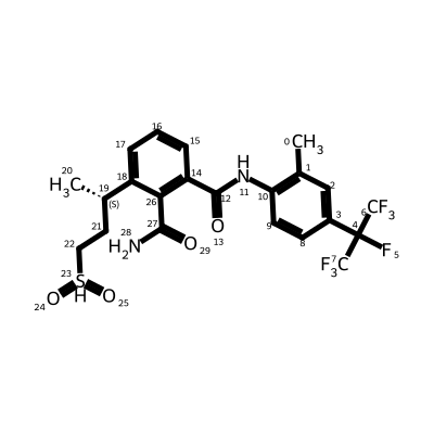 Cc1cc(C(F)(C(F)(F)F)C(F)(F)F)ccc1NC(=O)c1cccc([C@@H](C)CC[SH](=O)=O)c1C(N)=O